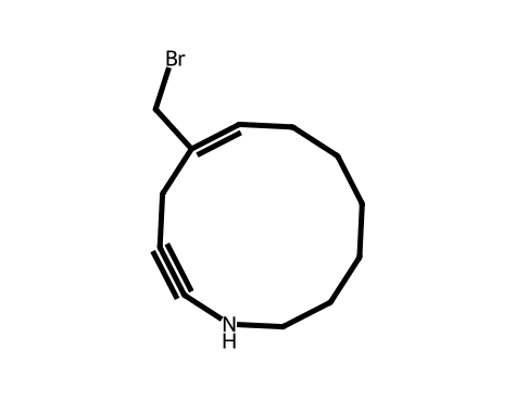 BrC/C1=C/CCCCCCNC#CC1